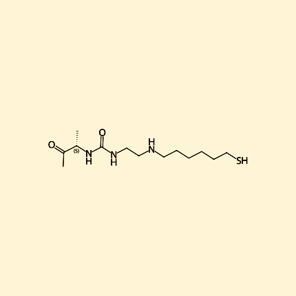 CC(=O)[C@H](C)NC(=O)NCCNCCCCCCS